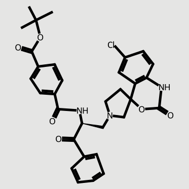 CC(C)(C)OC(=O)c1ccc(C(=O)N[C@@H](CN2CCC3(C2)OC(=O)Nc2ccc(Cl)cc23)C(=O)c2ccccc2)cc1